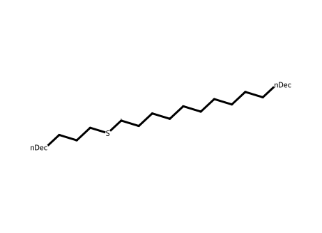 CCCCCCCCCCCCCCCCCCC[CH]SCCCCCCCCCCCCC